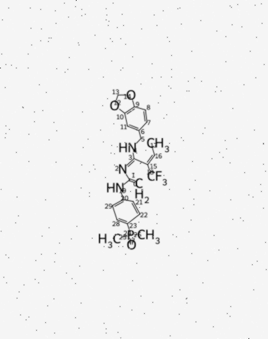 C=C(/N=C(NCc1ccc2c(c1)OCO2)\C(=C/C)C(F)(F)F)Nc1ccc(P(C)(C)=O)cc1